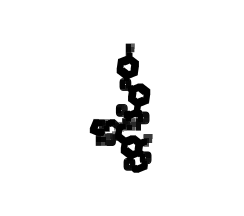 O=C(N[C@H](CN1CCC1)[C@H](O)c1cc(F)c2c(c1)OCCO2)C(=O)c1cccc(Oc2ccc(F)cc2)c1